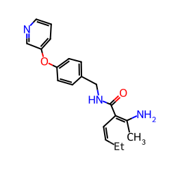 CC/C=C\C(C(=O)NCc1ccc(Oc2cccnc2)cc1)=C(/C)N